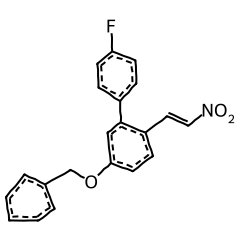 O=[N+]([O-])C=Cc1ccc(OCc2ccccc2)cc1-c1ccc(F)cc1